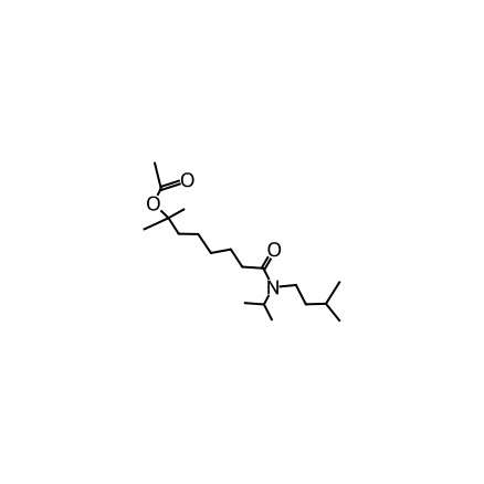 CC(=O)OC(C)(C)CCCCCC(=O)N(CCC(C)C)C(C)C